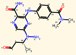 C[C@H](CC=O)N(N)c1cnc(C(N)=O)c(Nc2ccc(C(=O)N(C)C)cc2)n1